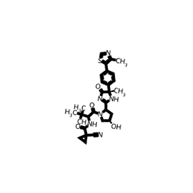 Cc1ncsc1-c1ccc([C@]2(C)NC(C3C[C@@H](O)CN3C(=O)C(NC(=O)C3(C#N)CC3)C(C)(C)C)=NC2=O)cc1